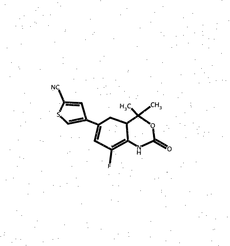 CC1(C)OC(=O)NC2=C(F)C=C(c3csc(C#N)c3)CC21